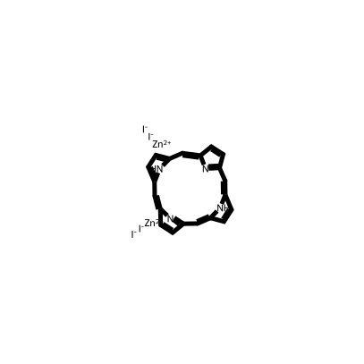 C1=Cc2cc3ccc(cc4nc(cc5ccc(cc1n2)[nH]5)C=C4)[nH]3.[I-].[I-].[I-].[I-].[Zn+2].[Zn+2]